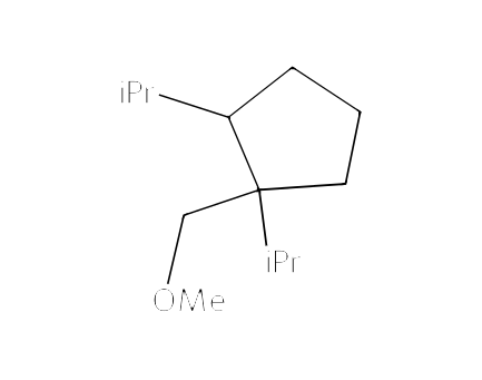 COCC1(C(C)C)CCCC1C(C)C